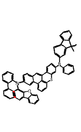 CC1(C)c2ccccc2-c2ccc(N(c3ccccc3)c3ccc4c(c3)Sc3cccc5c3c-4cc3ccc(N(c4ccccc4-c4ccccc4)c4cccc6c4oc4ccccc46)cc35)cc21